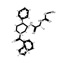 C[C@@H](NC(=O)OC(C)(C)C)C(=O)N[C@@H]1CN(C(=O)c2cccn3cncc23)CC[C@H]1c1ccccc1